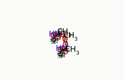 CC(COCCOCC(C)OCC(C)NC(=O)C(=O)c1ccccc1)NC(=O)C(=O)c1ccccc1